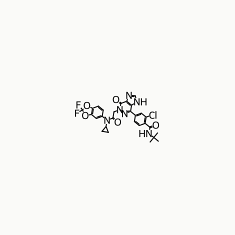 CC(C)(C)NC(=O)c1ccc(-c2nn(CC(=O)N(c3ccc4c(c3)OC(F)(F)O4)C3CC3)c(=O)c3nc[nH]c23)cc1Cl